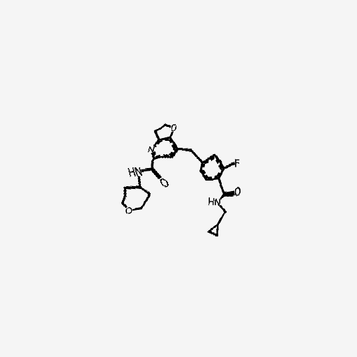 O=C(NC1CCOCC1)c1cc(Cc2ccc(C(=O)NCC3CC3)c(F)c2)c2c(n1)CCO2